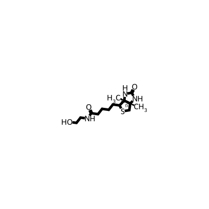 C[C@@]12CSC(CCCCC(=O)NCCO)[C@]1(C)NC(=O)N2